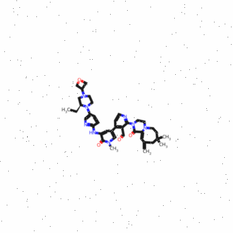 C=C1/C=C2/C(=O)N(c3nccc(-c4cc(Nc5ccc(N6CCN(C7COC7)C[C@@H]6CC)cn5)c(=O)n(C)c4)c3C=O)CCN2CCC(C)(C)C1